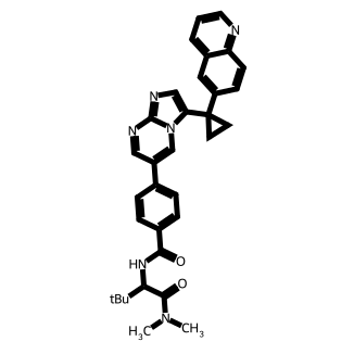 CN(C)C(=O)C(NC(=O)c1ccc(-c2cnc3ncc(C4(c5ccc6ncccc6c5)CC4)n3c2)cc1)C(C)(C)C